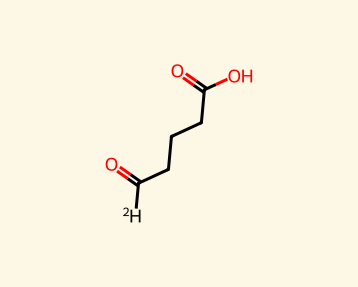 [2H]C(=O)CCCC(=O)O